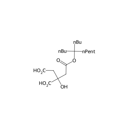 CCCCCC(CCCC)(CCCC)OC(=O)CC(O)(CC(=O)O)C(=O)O